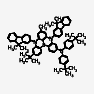 Cc1cc2c3c(c1)N(c1ccc4c(c1)C(C)(C)c1ccccc1-4)c1cc(C(C)(C)C)ccc1B3c1ccc(N(c3ccc(C(C)(C)C)cc3)c3ccc(C(C)(C)C)cc3)cc1N2c1ccc2c(c1)C(C)(C)c1ccccc1-2